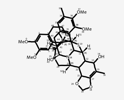 COc1cc2c(cc1OC)[C@@]1(CS[C@@H]3C4C(O)C(C)=C5OCOC5C4[C@H](COC1=O)N1C3[C@H]3c4c(cc(C)c(OC)c4OC)C[C@@H]([C@@H]1O)N3C)NCC2